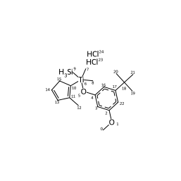 COc1cc([O][Ti]([CH3])([CH3])([SiH3])[C]2=C(C)C=CC2)cc(C(C)(C)C)c1.Cl.Cl